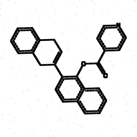 O=C(Oc1c(C2=CCc3ccccc3C2)ccc2ccccc12)c1ccncc1